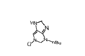 CCCCN1CN(Cl)C=C2NCN=C21